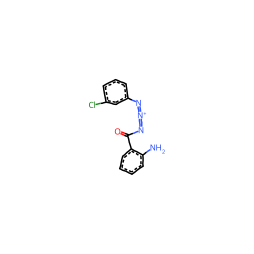 Nc1ccccc1C(=O)N=[N+]=Nc1cccc(Cl)c1